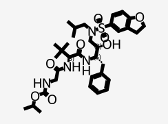 CC(C)CN(C[C@@H](O)[C@H](Cc1ccccc1)NC(=O)[C@@H](NC(=O)CNC(=O)OC(C)C)C(C)(C)C)S(=O)(=O)c1ccc2c(c1)CCO2